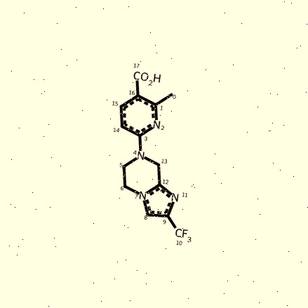 Cc1nc(N2CCn3cc(C(F)(F)F)nc3C2)ccc1C(=O)O